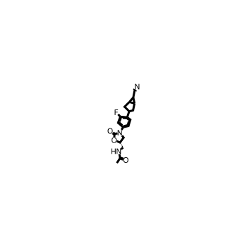 CC(=O)NC[C@H]1CN(c2ccc(C3CC4C(C#N)C4C3)c(F)c2)C(=O)O1